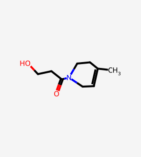 CC1=CCN(C(=O)CCO)CC1